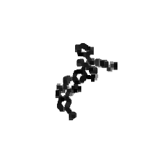 C[C@H](Nc1cc(F)c(S(=O)(=O)N(C(=O)O)c2cscn2)cc1Cl)c1cc(C2CC2)ccc1F